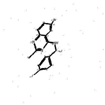 Cc1nc(N[C@H](C)c2ccc(F)cc2)c2cc(Br)ccc2n1